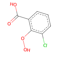 O=C(O)c1cccc(Cl)c1OO